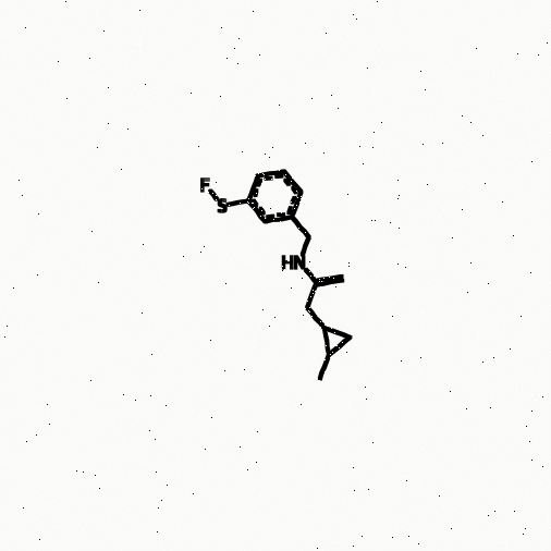 C=C(CC1CC1C)NCc1cccc(SF)c1